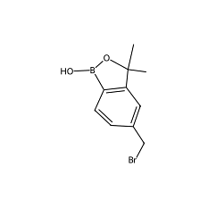 CC1(C)OB(O)c2ccc(CBr)cc21